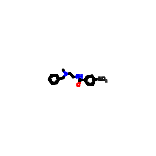 CN(CCNC(=O)c1ccc([N+](=O)[O-])cc1)Cc1ccccc1